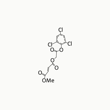 COC(=O)C=CC(=O)OCC(=O)Oc1c(Cl)cc(Cl)cc1Cl